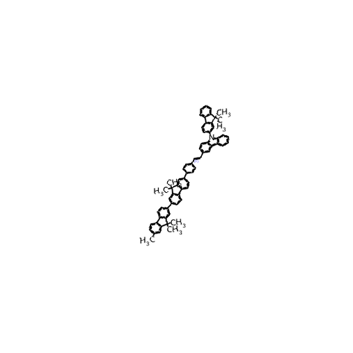 Cc1ccc2c(c1)C(C)(C)c1cc(-c3ccc4c(c3)C(C)(C)c3cc(-c5ccc(/C=C/c6ccc7c(c6)c6ccccc6n7-c6ccc7c(c6)C(C)(C)c6ccccc6-7)cc5)ccc3-4)ccc1-2